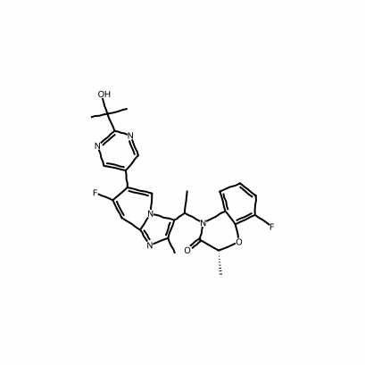 Cc1nc2cc(F)c(-c3cnc(C(C)(C)O)nc3)cn2c1C(C)N1C(=O)[C@@H](C)Oc2c(F)cccc21